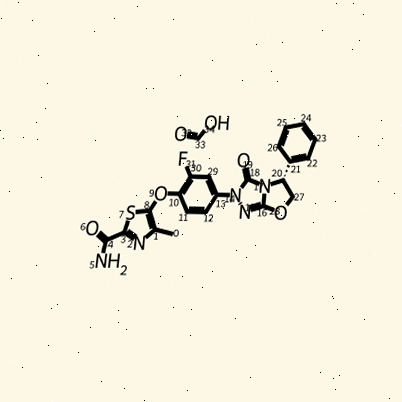 Cc1nc(C(N)=O)sc1Oc1ccc(-n2nc3n(c2=O)[C@H](c2ccccc2)CO3)cc1F.O=CO